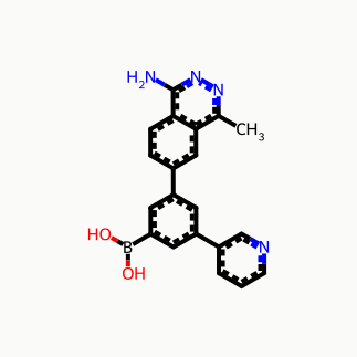 Cc1nnc(N)c2ccc(-c3cc(B(O)O)cc(-c4cccnc4)c3)cc12